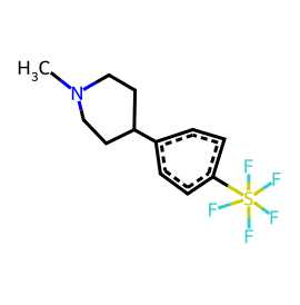 CN1CCC(c2ccc(S(F)(F)(F)(F)F)cc2)CC1